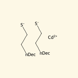 CCCCCCCCCCCC[S-].CCCCCCCCCCCC[S-].[Cd+2]